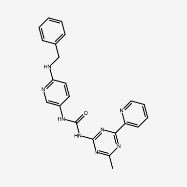 Cc1nc(NC(=O)Nc2ccc(NCc3ccccc3)nc2)nc(-c2ccccn2)n1